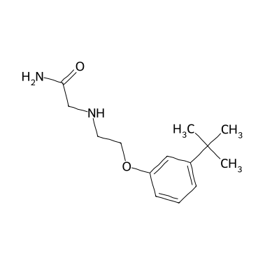 CC(C)(C)c1cccc(OCCNCC(N)=O)c1